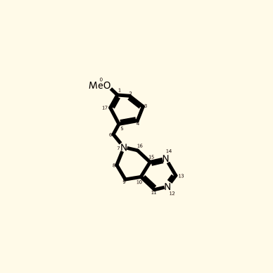 COc1cccc(CN2CCc3cncnc3C2)c1